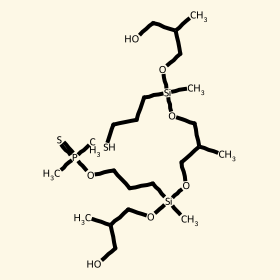 CC(CO)CO[Si](C)(CCCS)OCC(C)CO[Si](C)(CCCOP(C)(C)=S)OCC(C)CO